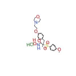 COc1ccc(S(=O)(=O)C(C)(Cc2ccc(OCCN3CCOCC3)cc2)C(=O)NO)cc1.Cl